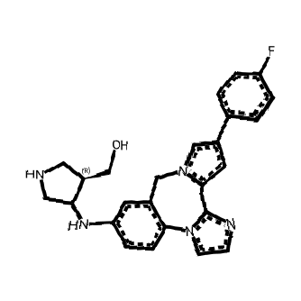 OC[C@@H]1CNCC1Nc1ccc2c(c1)Cn1cc(-c3ccc(F)cc3)cc1-c1nccn1-2